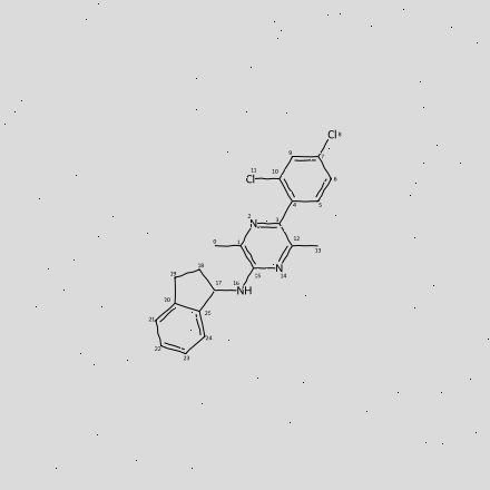 Cc1nc(-c2ccc(Cl)cc2Cl)c(C)nc1NC1CCc2ccccc21